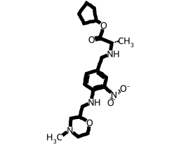 C[C@H](NCc1ccc(NCC2CN(C)CCO2)c([N+](=O)[O-])c1)C(=O)OC1CCCC1